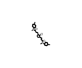 Cc1ccc2c(c1)O/C(=C\C=C1/CCC(/C=C/c3oc4cc(C)ccc4[n+]3C)=C1Cl)N2C